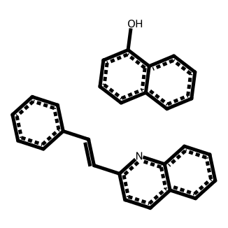 C(=Cc1ccc2ccccc2n1)c1ccccc1.Oc1cccc2ccccc12